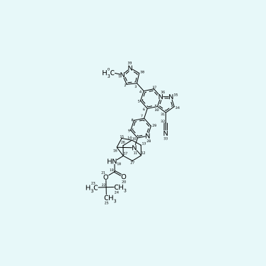 Cn1cc(-c2cc(-c3ccc(N4C5CC6CC4C(NC(=O)OC(C)(C)C)(C6)C5)nc3)c3c(C#N)cnn3c2)cn1